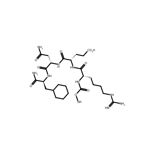 CCCOC(=O)N[C@@H](CCCCNC(=N)N)C(=O)N[C@@H](CCC(=O)O)C(=O)N[C@@H](CC(N)=O)C(=O)N[C@@H](CC1CCCCC1)C(N)=O